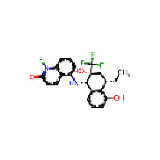 CC[C@H]1C[C@](O)(C(F)(F)F)[C@@H](Nc2cccc3c2ccc(=O)n3F)c2cccc(O)c21